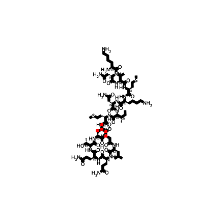 CC[C@H](C)[C@H](NC(=O)[C@H](CC(N)=O)NC(=O)[C@H](CCCCN)NC(=O)[C@H](CCSC)NC(=O)[C@@H](NC(=O)[C@H](CC(N)=O)NC(=O)[C@@H](N)CCCCN)C(C)C)C(=O)N[C@@H](CCSC)C(=O)N[C@@H](C)C(=O)NCC(=O)N[C@@H](CC(C)C)C(=O)N[C@@H](CCC(N)=O)C(=O)N[C@@H](CCC(N)=O)C(=O)N[C@H](C(=O)N[C@@H](CC(N)=O)C(=O)O)[C@@H](C)O